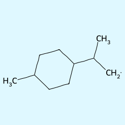 [CH2]C(C)C1CCC(C)CC1